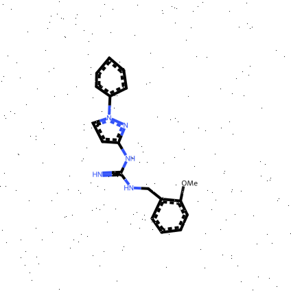 COc1ccccc1CNC(=N)Nc1ccn(-c2ccccc2)n1